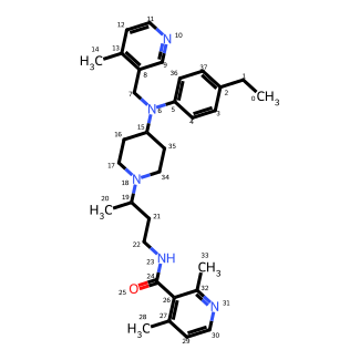 CCc1ccc(N(Cc2cnccc2C)C2CCN(C(C)CCNC(=O)c3c(C)ccnc3C)CC2)cc1